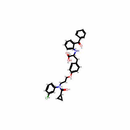 O=C(c1ccccc1)c1ccccc1NC(Cc1ccc(OCCCN(C(=O)C2CC2)c2cccc(Cl)c2)cc1)C(=O)O